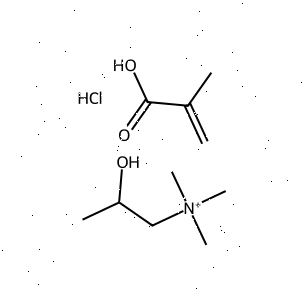 C=C(C)C(=O)O.CC(O)C[N+](C)(C)C.Cl